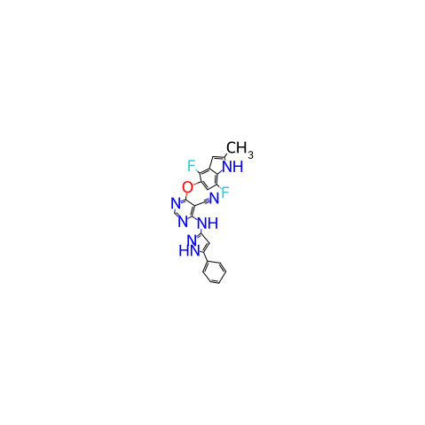 Cc1cc2c(F)c(Oc3ncnc(Nc4cc(-c5ccccc5)[nH]n4)c3C#N)cc(F)c2[nH]1